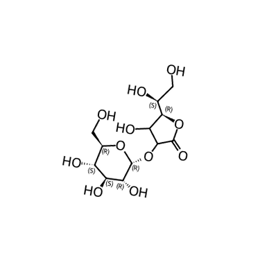 O=C1O[C@H]([C@@H](O)CO)C(O)C1O[C@H]1O[C@H](CO)[C@@H](O)[C@H](O)[C@H]1O